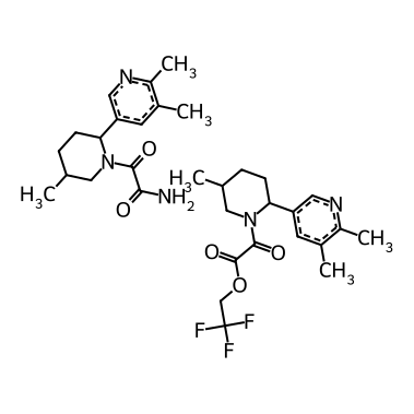 Cc1cc(C2CCC(C)CN2C(=O)C(=O)OCC(F)(F)F)cnc1C.Cc1cc(C2CCC(C)CN2C(=O)C(N)=O)cnc1C